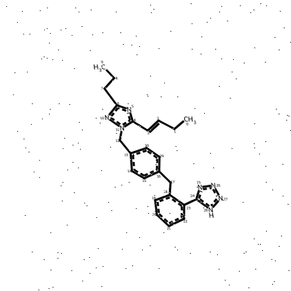 CCC=Cc1nc(CCC)nn1Cc1ccc(Cc2ccccc2-c2nnn[nH]2)cc1